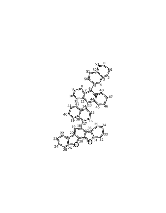 c1ccc2cc(-c3c4ccccc4c(-c4ccc(-c5cc6c7ccccc7oc6c6oc7ccccc7c56)c5ccccc45)c4ccccc34)ccc2c1